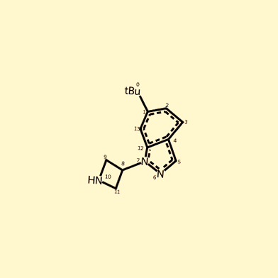 CC(C)(C)c1ccc2cnn(C3CNC3)c2c1